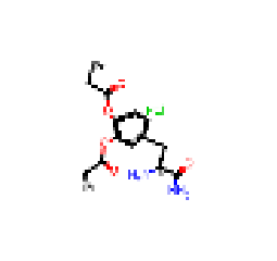 CC(C)CC(=O)Oc1ccc(C[C@H](N)C(N)=O)cc1OC(=O)CC(C)C.Cl